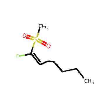 CCCC/C=C(/F)S(C)(=O)=O